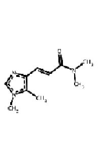 Cc1c(C=CC(=O)N(C)C)ncn1C